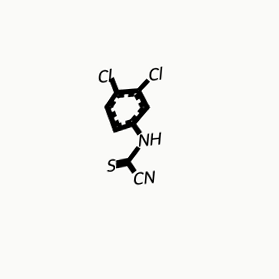 N#CC(=S)Nc1ccc(Cl)c(Cl)c1